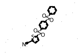 N#Cc1ccc(S(=O)(=O)c2ccc(S(=O)(=O)c3ccccc3)cc2)s1